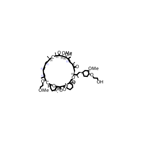 COCCO[C@H]1C[C@@H]2CC[C@@H](C)[C@@](O)(O2)C(=O)C(=O)N2CCCC[C@H]2C(=O)O[C@H]([C@H](C)C[C@@H]2CC[C@@H](OCCO)[C@H](OC)C2)CC(=O)[C@H](C)/C=C(\C)[C@@H](O)[C@@H](OC)C(=O)[C@H](C)C[C@H](C)/C=C/C=C/C=C/1C